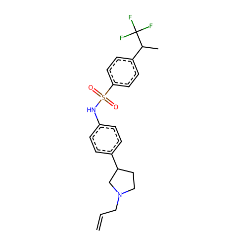 C=CCN1CCC(c2ccc(NS(=O)(=O)c3ccc(C(C)C(F)(F)F)cc3)cc2)C1